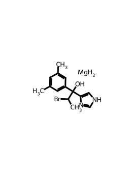 Cc1cc(C)cc(C(O)(c2c[nH]cn2)C(C)Br)c1.[MgH2]